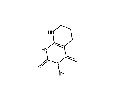 CC(C)n1c(=O)[nH]c2c(c1=O)CCCN2